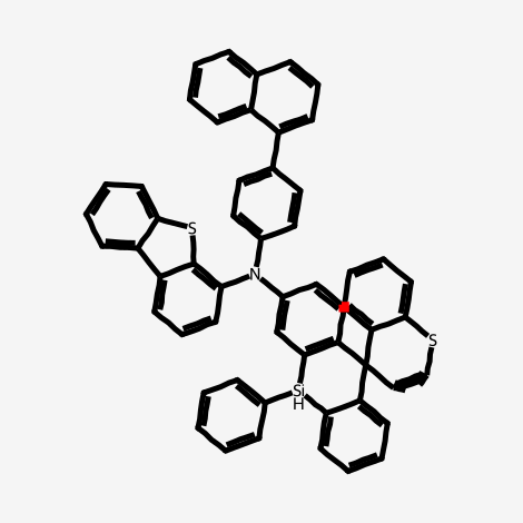 c1ccc([SiH]2c3ccccc3C3(c4ccccc4Sc4ccccc43)c3ccc(N(c4ccc(-c5cccc6ccccc56)cc4)c4cccc5c4sc4ccccc45)cc32)cc1